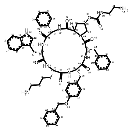 NCCCC[C@@H]1NC(=O)[C@H](Cc2c[nH]c3ccccc23)NC(=O)[C@H](c2ccccc2)NC(=O)[C@@H]2C[C@@H](OC(=O)NCCN)CN2C(=O)[C@H](Cc2ccccc2)NC(=O)[C@H](Cc2ccc(OCc3ccccc3)cc2)NC1=O